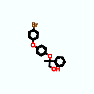 CC(CO)(Oc1ccc(Oc2ccc(Br)cc2)cc1)c1ccccc1